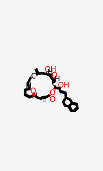 C=C1CCC[C@@H]2CC=C[C@@H](C/C=C\C(=O)OC([C@@H](O)/C=C/C3CCc4ccccc4C3)C[C@@H]3O[C@H]3[C@@H](O)C1)O2